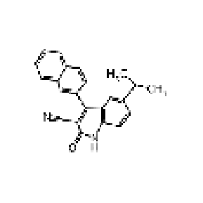 CC(C)c1ccc2[nH]c(=O)c(C#N)c(-c3ccc4ccccc4c3)c2c1